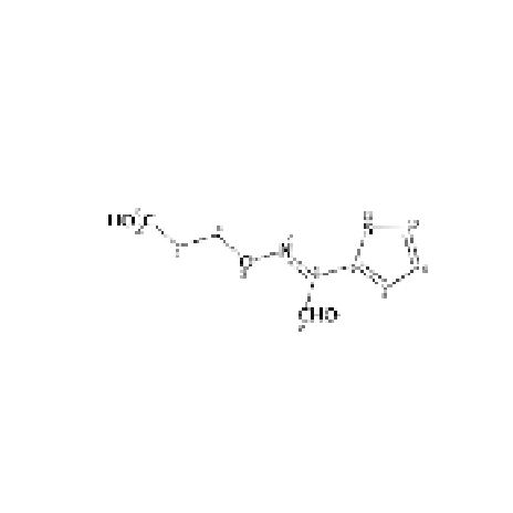 O=[C]/C(=N\OCCC(=O)O)c1cccs1